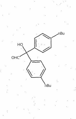 CCCCc1ccc(C(O)(C=O)c2ccc(CCCC)cc2)cc1